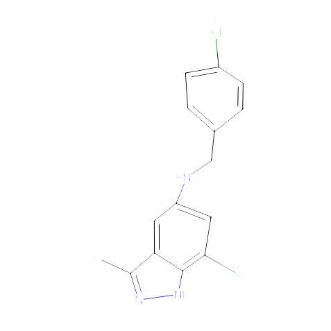 Cc1n[nH]c2c(F)cc(NCc3ccc(Cl)cc3)cc12